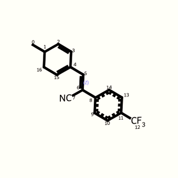 CC1C=CC(/C=C(\C#N)c2ccc(C(F)(F)F)cc2)=CC1